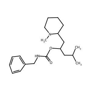 CC(C)CC(CC1CCCCN1C)OC(=O)NCc1ccccc1